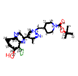 Cc1nn(CC2CCN(C(=O)OC(C)(C)C)CC2)cc1-c1cnc2ccc(O)c(Cl)c2n1